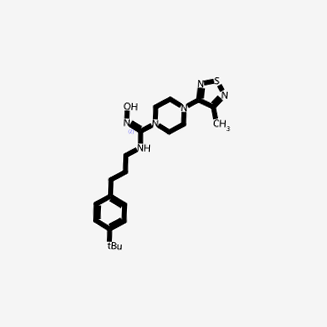 Cc1nsnc1N1CCN(/C(=N\O)NCCCc2ccc(C(C)(C)C)cc2)CC1